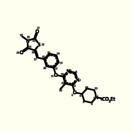 CCOC(=O)N1CCC(Oc2ncnc(Oc3cccc(/C=C4\SC(=O)N(C)C4=O)c3)c2C)CC1